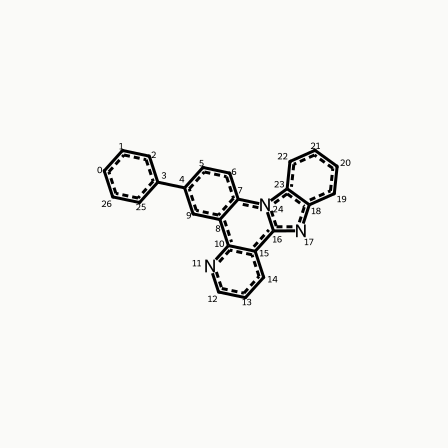 c1ccc(-c2ccc3c(c2)c2ncccc2c2nc4ccccc4n32)cc1